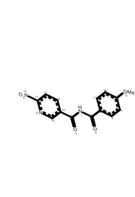 COc1ccc(C(=O)NC(=O)c2ccc([N+](=O)[O-])nc2)cc1